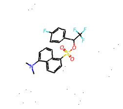 CN(C)c1cccc2c(S(=O)(=O)OC(c3ccc(F)cc3)C(F)(F)F)cccc12